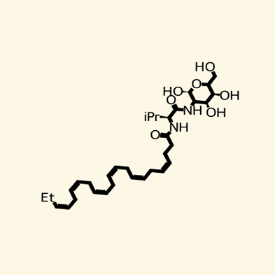 CC/C=C\C/C=C\C/C=C\C/C=C\C/C=C\C/C=C\CCC(=O)N[C@H](C(=O)NC1[C@H](O)OC(CO)[C@@H](O)[C@H]1O)C(C)C